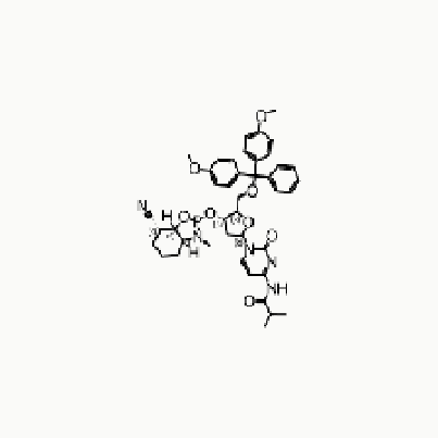 COc1ccc(C(OC[C@H]2O[C@@H](n3ccc(NC(=O)C(C)C)nc3=O)C[C@@H]2OP2O[C@H]3[C@@H](C#N)CCC[C@@H]3N2C)(c2ccccc2)c2ccc(OC)cc2)cc1